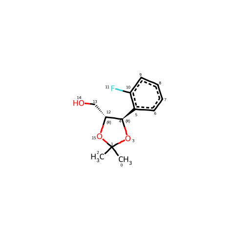 CC1(C)O[C@H](c2ccccc2F)[C@@H](CO)O1